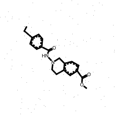 CCc1ccc(C(=O)NN2CCc3cc(C(=O)OC)ccc3C2)cc1